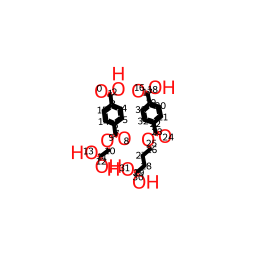 O=C(O)c1ccc(C(=O)OCC(O)O)cc1.O=C(O)c1ccc(C(=O)OCCCC(O)O)cc1